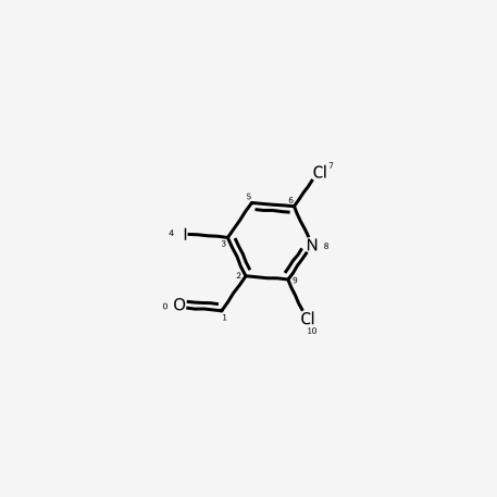 O=Cc1c(I)cc(Cl)nc1Cl